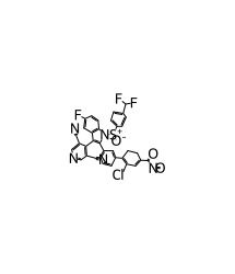 N#Cc1cncc(C#N)c1-c1c(-c2cccc(C3=C(Cl)C=C(C(=O)N=O)CC3)c2)n([S+]([O-])c2ccc(C(F)F)cc2)c2ccc(F)cc12